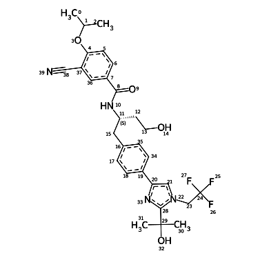 CC(C)Oc1ccc(C(=O)N[C@H](CCO)Cc2ccc(-c3cn(CC(F)(F)F)c(C(C)(C)O)n3)cc2)cc1C#N